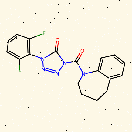 O=C(N1CCCCc2ccccc21)n1nnn(-c2c(F)cccc2F)c1=O